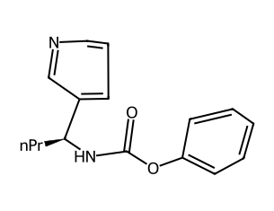 CCC[C@H](NC(=O)Oc1ccccc1)c1cccnc1